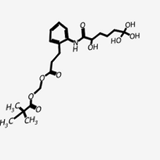 CC(C)(C)C(=O)OCOC(=O)CCc1ccccc1NC(=O)C(O)CCCC(O)(O)O